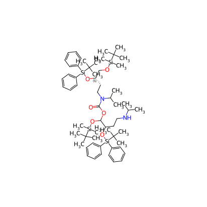 CC(C)NCCC(O[Si](c1ccccc1)(c1ccccc1)C(C)(C)C)C(OC(=O)N(CC[C@@H](CO[Si](C)(C)C(C)(C)C)O[Si](c1ccccc1)(c1ccccc1)C(C)(C)C)C(C)C)O[Si](C)(C)C(C)(C)C